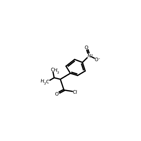 CC(C)C(C(=O)Cl)c1ccc([N+](=O)[O-])cc1